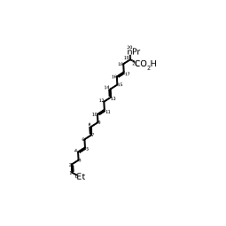 CC/C=C\C/C=C/C/C=C/C/C=C/C/C=C/C/C=C/CC(CCC)C(=O)O